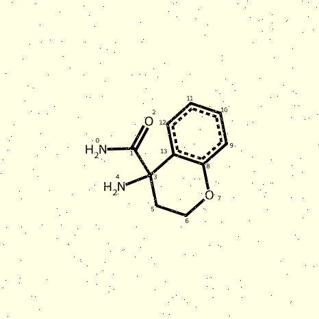 NC(=O)C1(N)CCOc2ccccc21